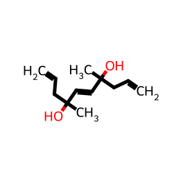 C=CCC(C)(O)C=CC(C)(O)CC=C